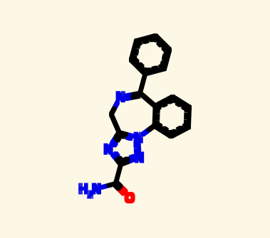 NC(=O)c1nc2n(n1)-c1ccccc1C(c1ccccc1)=NC2